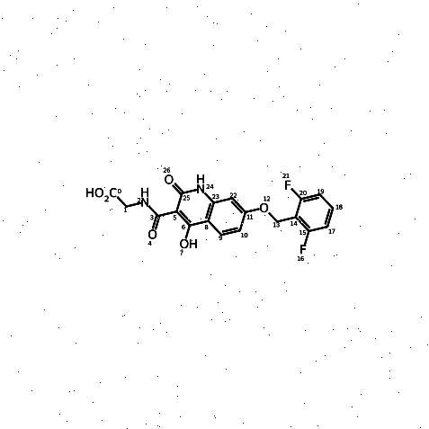 O=C(O)CNC(=O)c1c(O)c2ccc(OCc3c(F)cccc3F)cc2[nH]c1=O